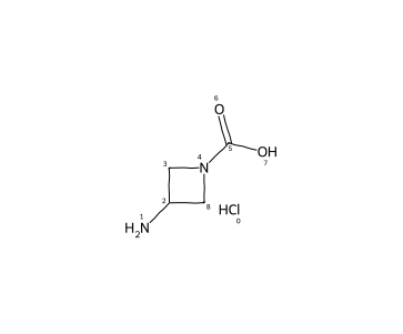 Cl.NC1CN(C(=O)O)C1